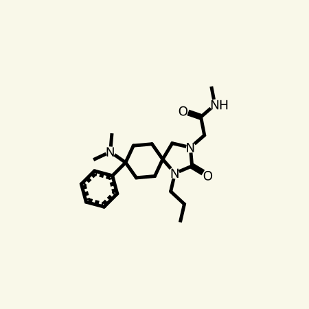 CCCN1C(=O)N(CC(=O)NC)CC12CCC(c1ccccc1)(N(C)C)CC2